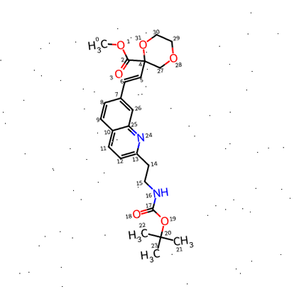 COC(=O)C1(C=Cc2ccc3ccc(CCNC(=O)OC(C)(C)C)nc3c2)COCCO1